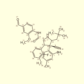 Bc1cc(C)ccc1[C@@]1(C#N)C(CC(C)(C)C)N[C@@H](C(=O)Nc2ccc(C=O)cc2OC)C1c1cccc(C)c1F